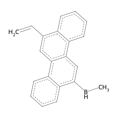 C=Cc1cc2c3ccccc3c(BC)cc2c2ccccc12